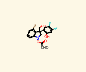 O=CC(=O)ON1CC(CO)(c2cc(F)c(F)cc2O)c2c(Br)cccc21